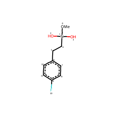 CO[Si](O)(O)CCc1ccc(F)cc1